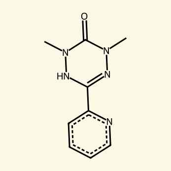 CN1N=C(c2ccccn2)NN(C)C1=O